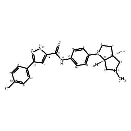 CN1C[C@@H]2CCN(c3ccc(NC(=O)c4cc(-c5ccc(Cl)cc5)n[nH]4)cc3)[C@@H]2C1